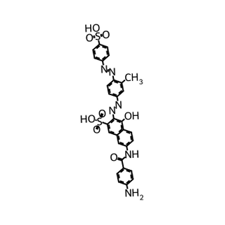 Cc1cc(N=Nc2c(S(=O)(=O)O)cc3cc(NC(=O)c4ccc(N)cc4)ccc3c2O)ccc1N=Nc1ccc(S(=O)(=O)O)cc1